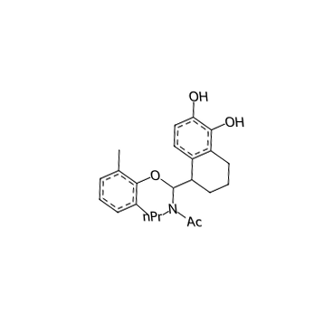 CCCN(C(C)=O)C(Oc1c(C)cccc1C)C1CCCc2c1ccc(O)c2O